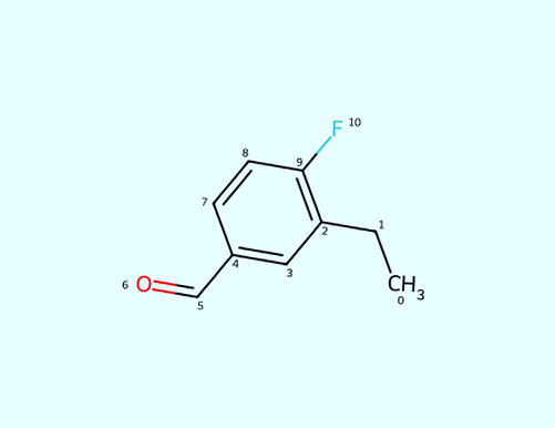 CCc1cc(C=O)ccc1F